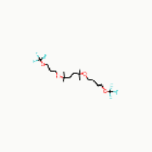 CC(C)(CCC(C)(C)OCCCOC(F)(F)F)OCCCCOC(F)(F)F